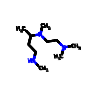 CNCCC(C)N(C)CCN(C)C